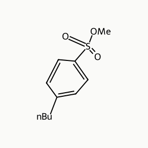 CCCCc1ccc(S(=O)(=O)OC)cc1